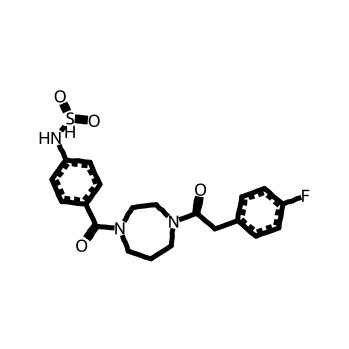 O=C(Cc1ccc(F)cc1)N1CCCN(C(=O)c2ccc(N[SH](=O)=O)cc2)CC1